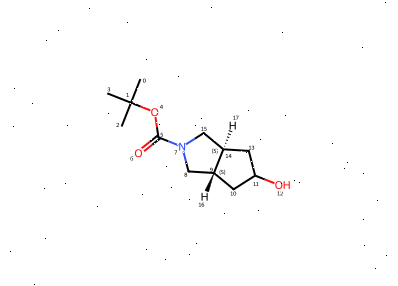 CC(C)(C)OC(=O)N1C[C@H]2CC(O)C[C@@H]2C1